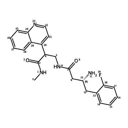 CNC(=O)C(CNC(=O)C[C@H](N)Cc1ccccc1F)c1ccnc2ccccc12